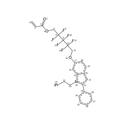 C=CC(=O)OCC(F)(F)C(F)(F)C(F)(F)COc1ccc2cc(-c3ccccc3)n(CCC(C)C)c2c1